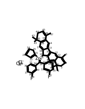 CC1=CCC(C)(C)c2cc3c(cc21)-c1cc2c(cc1[CH]3[Zr+2]([C]1=CC=CC1)=[C](c1cccc(F)c1)c1cccc(F)c1)C(C)(C)CC=C2C.[Cl-].[Cl-]